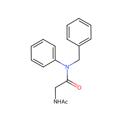 CC(=O)NCC(=O)N(Cc1ccccc1)c1ccccc1